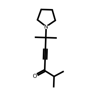 CC(C)C(=O)C#CC(C)(C)N1CCCC1